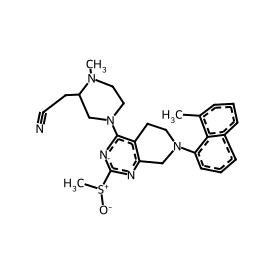 Cc1cccc2cccc(N3CCc4c(nc([S+](C)[O-])nc4N4CCN(C)C(CC#N)C4)C3)c12